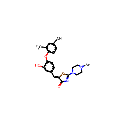 CC(=O)N1CCN(C2=NC(=O)/C(=C/c3ccc(Oc4ccc(C#N)cc4C(F)(F)F)c(O)c3)S2)CC1